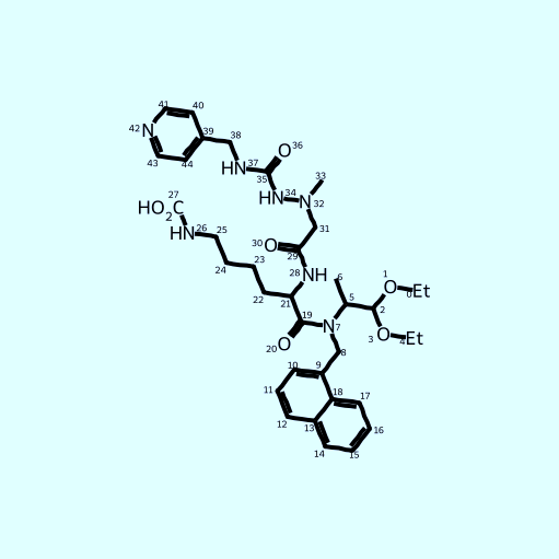 CCOC(OCC)C(C)N(Cc1cccc2ccccc12)C(=O)C(CCCCNC(=O)O)NC(=O)CN(C)NC(=O)NCc1ccncc1